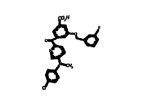 CN(c1ccc(Cl)cc1)c1ccc(C(=O)c2cc(OCc3cccc(F)c3)cc(C(=O)O)c2)nc1